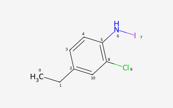 CCc1ccc(NI)c(Cl)c1